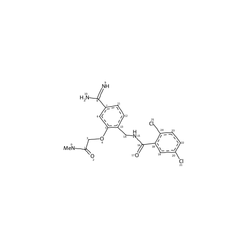 CNC(=O)COc1cc(C(=N)N)ccc1CNC(=O)c1cc(Cl)ccc1Cl